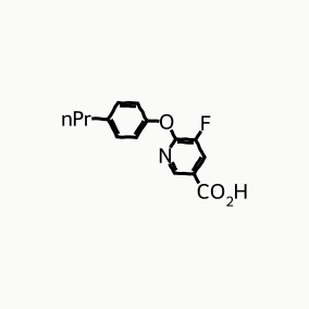 CCCc1ccc(Oc2ncc(C(=O)O)cc2F)cc1